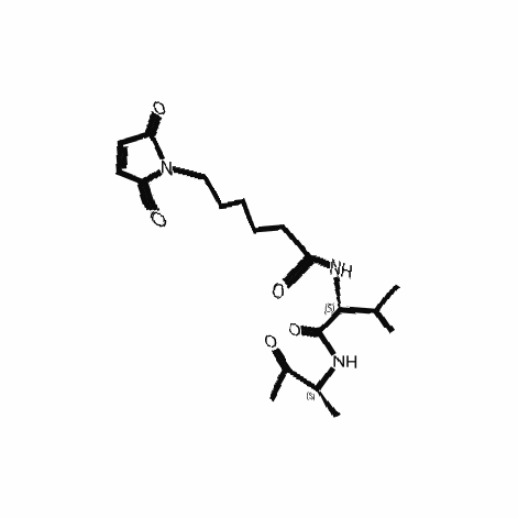 CC(=O)[C@H](C)NC(=O)[C@@H](NC(=O)CCCCCN1C(=O)C=CC1=O)C(C)C